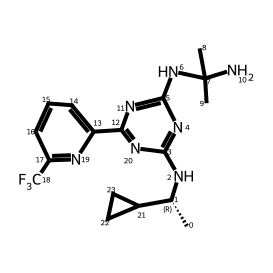 C[C@@H](Nc1nc(NC(C)(C)N)nc(-c2cccc(C(F)(F)F)n2)n1)C1CC1